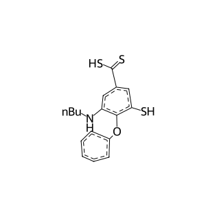 CCCCNc1cc(C(=S)S)cc(S)c1Oc1ccccc1